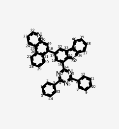 c1ccc(-c2nc(-c3ccccc3)nc(-c3cc(-c4cc5ncccc5c5ccccc45)cc4c3sc3ccccc34)n2)cc1